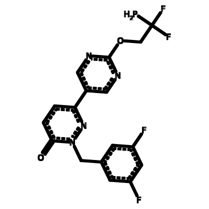 O=c1ccc(-c2cnc(OCC(F)(F)P)nc2)nn1Cc1cc(F)cc(F)c1